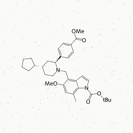 COC(=O)c1ccc([C@@H]2C[C@@H](C3CCCC3)CCN2Cc2c(OC)cc(C)c3c2ccn3C(=O)OC(C)(C)C)cc1